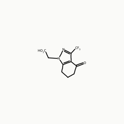 O=C(O)Cn1nc(C(F)(F)F)c2c1CCCC2=O